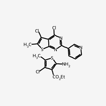 CCOC(=O)c1c(N)sc(C)c1Cl.Cc1sc2nc(-c3cccnc3)nc(Cl)c2c1Cl